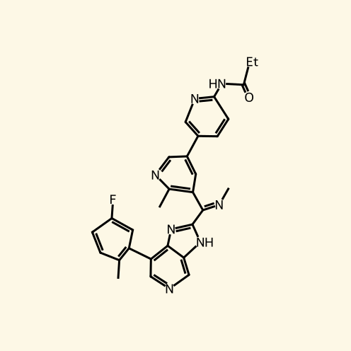 CCC(=O)Nc1ccc(-c2cnc(C)c(/C(=N\C)c3nc4c(-c5cc(F)ccc5C)cncc4[nH]3)c2)cn1